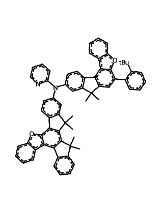 CC(C)(C)c1ccccc1-c1cc2c(c3c1oc1ccccc13)-c1ccc(N(c3ccc4c(c3)C(C)(C)c3c5c(c6c(oc7ccccc76)c3-4)-c3ccccc3C5(C)C)c3ccccn3)cc1C2(C)C